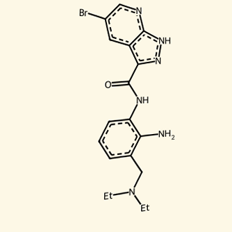 CCN(CC)Cc1cccc(NC(=O)c2n[nH]c3ncc(Br)cc23)c1N